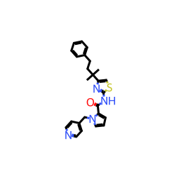 CC(C)(CCc1ccccc1)c1csc(NC(=O)c2cccn2Cc2ccncc2)n1